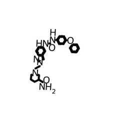 NC(=O)C1CCCN(CCn2cc3cc(NC(=O)Nc4ccc(Oc5ccccc5)cc4)ccc3n2)C1